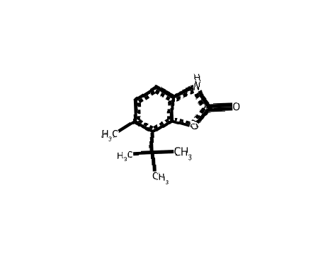 Cc1ccc2[nH]c(=O)oc2c1C(C)(C)C